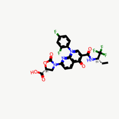 CC[C@H](NC(=O)c1cn(-c2ccc(F)cc2F)c2nc(N3C[C@H](C(=O)O)OC3=O)ccc2c1=O)C(F)(F)F